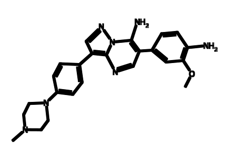 COc1cc(-c2cnc3c(-c4ccc(N5CCN(C)CC5)cc4)cnn3c2N)ccc1N